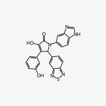 O=C1C(O)=C(c2cccc(O)c2)C(c2ccc3nsnc3c2)N1c1ccc2[nH]cnc2c1